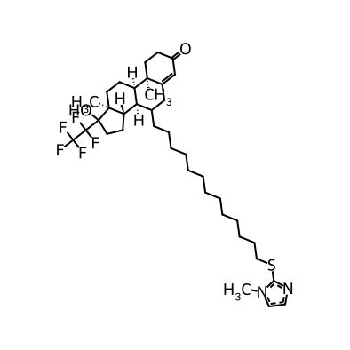 Cn1ccnc1SCCCCCCCCCCCCCC1CC2=CC(=O)CC[C@]2(C)[C@@H]2CC[C@@]3(C)[C@@H](CCC3(O)C(F)(F)C(F)(F)F)[C@H]12